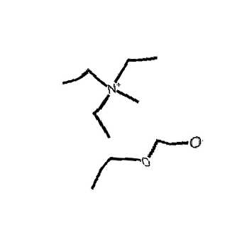 CCOC[O].CC[N+](C)(CC)CC